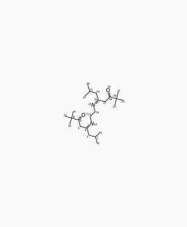 CC(C)CC(CC(=O)C(C)(C)C)=NCCN=C(CC(=O)C(C)(C)C)CC(C)C